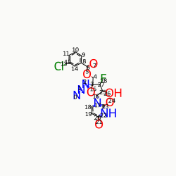 [N-]=[N+]=NC1(COC(=O)c2cccc(Cl)c2)OC(n2ccc(=O)[nH]c2=O)C(O)C1F